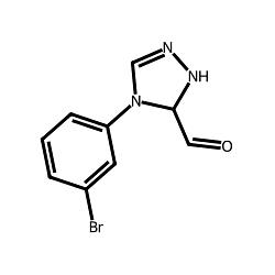 O=CC1NN=CN1c1cccc(Br)c1